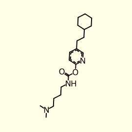 CN(C)CCCCNC(=O)Oc1ccc(CCC2CCCCC2)cn1